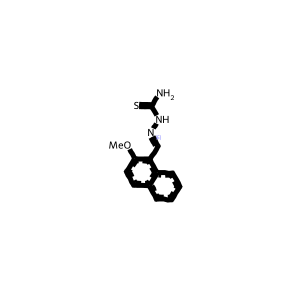 COc1ccc2ccccc2c1/C=N/NC(N)=S